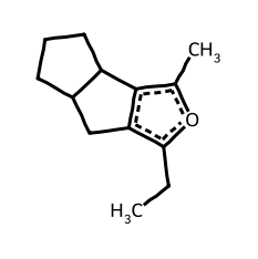 CCc1oc(C)c2c1CC1CCCC21